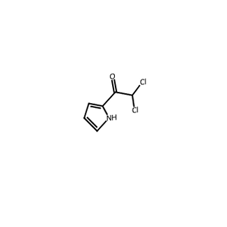 O=C(c1ccc[nH]1)C(Cl)Cl